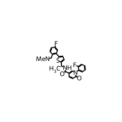 CNCc1ccc(F)cc1-c1ccc([C@@H](C)NC(=O)c2ccc(=O)n(-c3ccccc3F)c2)s1